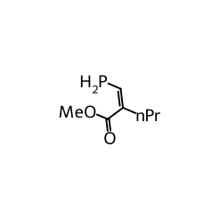 CCCC(=CP)C(=O)OC